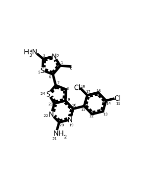 Cc1nc(N)sc1-c1cc2c(-c3ccc(Cl)cc3Cl)nc(N)nc2s1